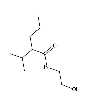 CCCC(C(=O)NCCO)C(C)C